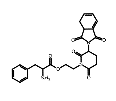 NC(Cc1ccccc1)C(=O)OCCN1C(=O)CCC(N2C(=O)C3=CC=CCC3C2=O)C1=O